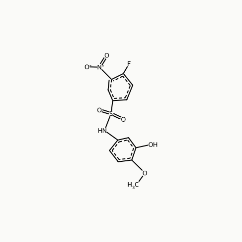 COc1ccc(NS(=O)(=O)c2ccc(F)c([N+](=O)[O-])c2)cc1O